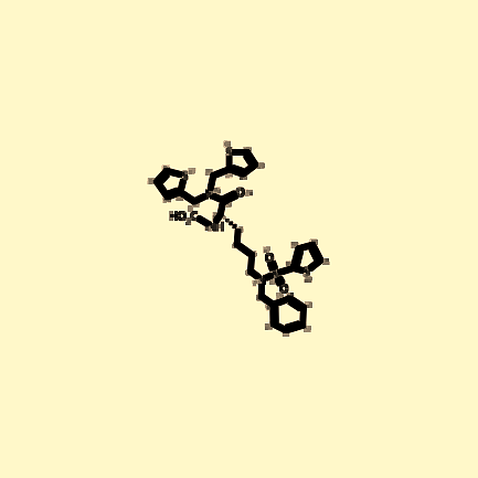 O=C(O)N[C@@H](CCCCN(Cc1ccccc1)S(=O)(=O)c1cccs1)C(=O)N(Cc1cccs1)Cc1cccs1